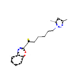 Cc1cc(C)n(CCCCCC(=S)c2nc3ccccc3o2)n1